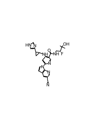 CC(C)(O)[C@H](F)CNC(=O)c1cnc(-n2ccc3cc(C#N)cnc32)cc1NC1CC1c1c[nH]cn1